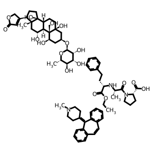 CCOC(=O)[C@H](CCc1ccccc1)N[C@@H](C)C(=O)N1CCC[C@H]1C(=O)O.CN1CCC(=C2c3ccccc3C=Cc3ccccc32)CC1.C[C@@H]1O[C@@H](O[C@H]2C[C@@H](O)[C@]3(CO)[C@H]4[C@H](O)C[C@]5(C)[C@@H](C6=CC(=O)OC6)CC[C@]5(O)[C@@H]4CC[C@]3(O)C2)[C@H](O)[C@H](O)[C@H]1O